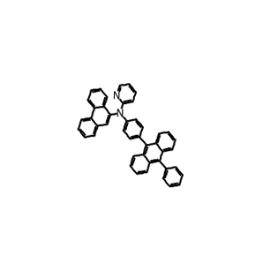 c1ccc(-c2c3ccccc3c(-c3ccc(N(c4ccccn4)c4cc5ccccc5c5ccccc45)cc3)c3ccccc23)cc1